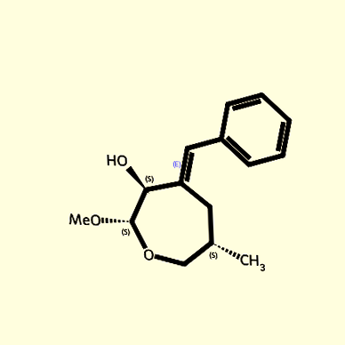 CO[C@H]1OC[C@@H](C)C/C(=C\c2ccccc2)[C@@H]1O